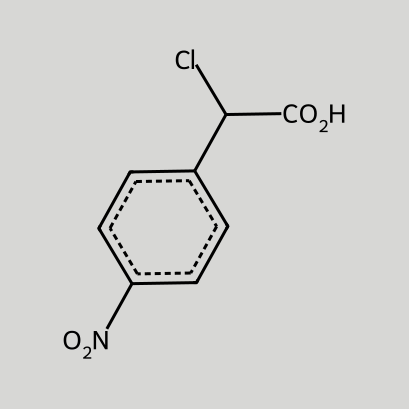 O=C(O)C(Cl)c1ccc([N+](=O)[O-])cc1